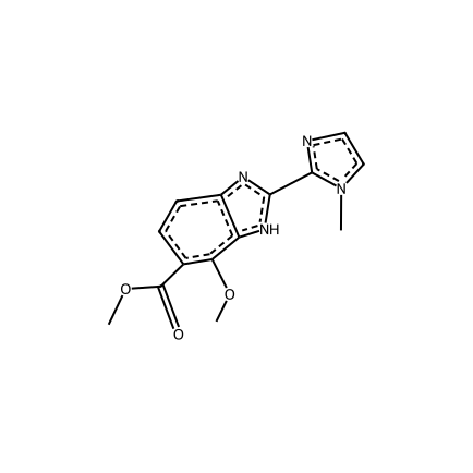 COC(=O)c1ccc2nc(-c3nccn3C)[nH]c2c1OC